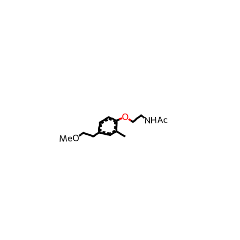 COCCc1ccc(OCCNC(C)=O)c(C)c1